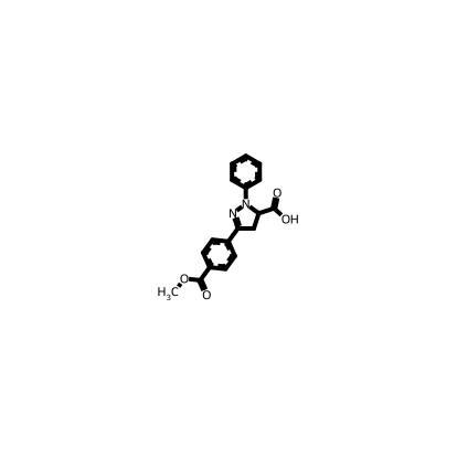 COC(=O)c1ccc(C2=NN(c3ccccc3)C(C(=O)O)C2)cc1